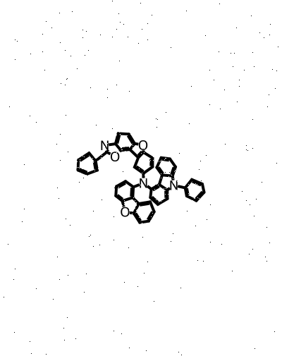 c1ccc(-c2nc3ccc4oc5ccc(N(c6cccc7oc8ccccc8c67)c6cccc7c6c6ccccc6n7-c6ccccc6)cc5c4c3o2)cc1